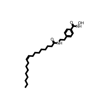 CCCCCCCC/C=C\CCCCCCCC(=O)NCCc1ccc(C(=O)NO)cc1